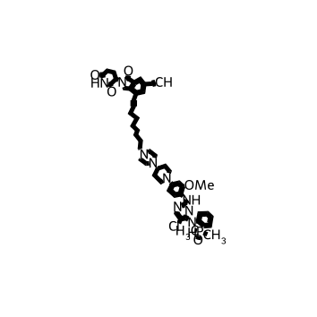 C#Cc1cc(C#CCCCCCCCN2CCN(C3CCN(c4ccc(Nc5ncc(Cl)c(Nc6ccccc6P(C)(C)=O)n5)c(OC)c4)CC3)CC2)c2c(c1)C(=O)N(C1CCC(=O)NC1=O)C2